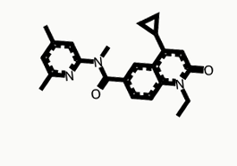 CCn1c(=O)cc(C2CC2)c2cc(C(=O)N(C)c3cc(C)cc(C)n3)ccc21